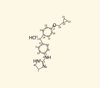 Cl.c1cc(NC2=NCCN2)ccc1Cc1ccc(OCC2CC2)cc1